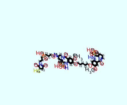 COc1cc2c(cc1OCCCCCOc1cc3c(cc1OC)C(=O)N1C/C(=N/OCCCP(=O)(O)CCCN4C(=O)CC(S)C4=O)C[C@H]1C(S(=O)(=O)O)N3)NC(S(=O)(=O)O)[C@@H]1CCCN1C2=O